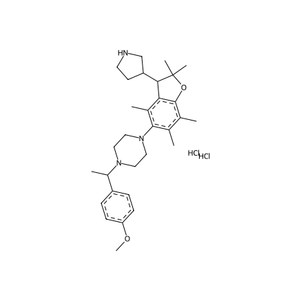 COc1ccc(C(C)N2CCN(c3c(C)c(C)c4c(c3C)C(C3CCNC3)C(C)(C)O4)CC2)cc1.Cl.Cl